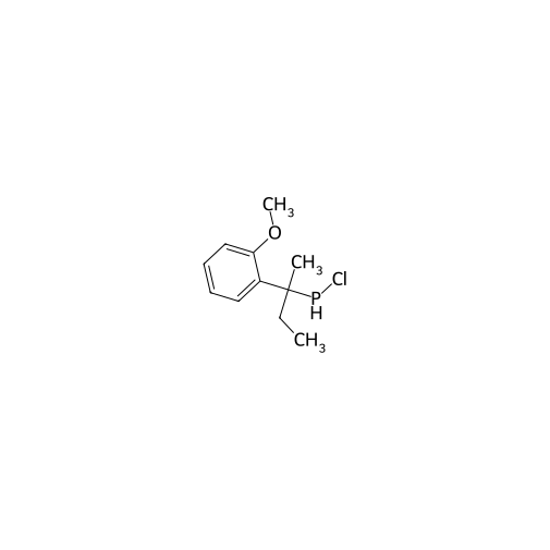 CCC(C)(PCl)c1ccccc1OC